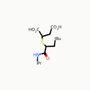 CC(C)NC(=O)C(CC(C)(C)C)SC(CC(=O)O)C(=O)O